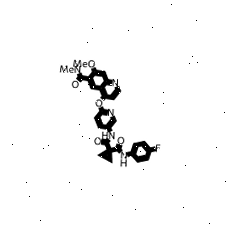 CNC(=O)c1cc2c(Oc3ccc(NC(=O)C4(C(=O)Nc5ccc(F)cc5)CC4)cn3)ccnc2cc1OC